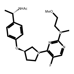 COCCN(C)c1ncc(F)c(N2CC[C@@H](Oc3ccc([C@H](C)NC(C)=O)cc3)C2)n1